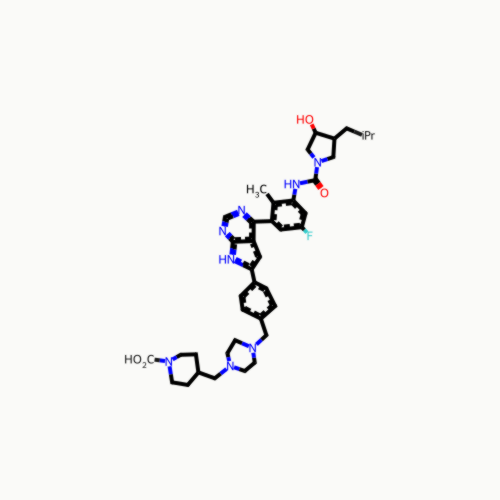 Cc1c(NC(=O)N2CC(O)C(CC(C)C)C2)cc(F)cc1-c1ncnc2[nH]c(-c3ccc(CN4CCN(CC5CCN(C(=O)O)CC5)CC4)cc3)cc12